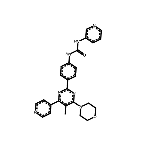 Cc1c(-c2ccncc2)nc(-c2ccc(NC(=O)Nc3cccnc3)cc2)nc1N1CCOCC1